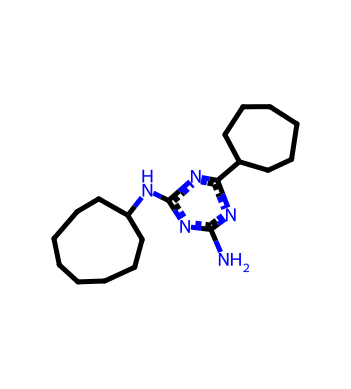 Nc1nc(NC2CCCCCCCC2)nc(C2CCCCCC2)n1